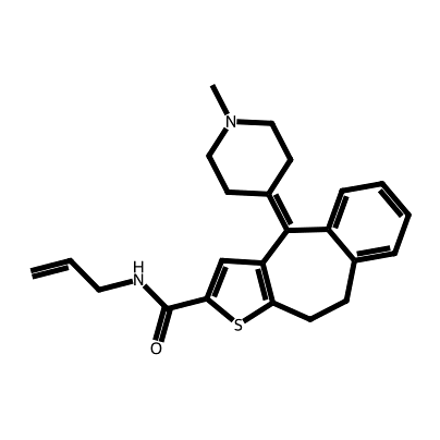 C=CCNC(=O)c1cc2c(s1)CCc1ccccc1C2=C1CCN(C)CC1